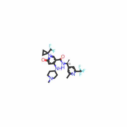 Cc1cc([C@H](C)NC(=O)c2cn(C3(C(F)F)CC3)c(=O)cc2NC2CCN(C)CC2)cc(C(F)(F)F)n1